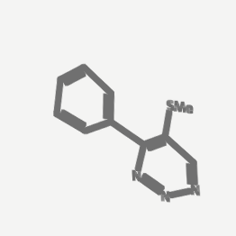 CSc1cnnnc1-c1ccccc1